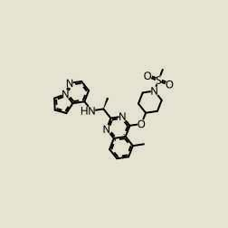 Cc1cccc2nc([C@H](C)Nc3ccnn4cccc34)nc(OC3CCN(S(C)(=O)=O)CC3)c12